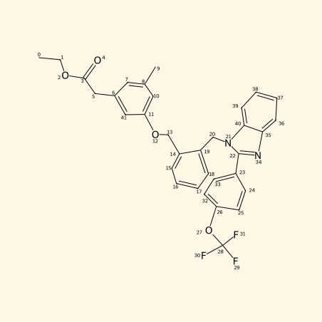 CCOC(=O)Cc1cc(C)cc(OCc2ccccc2Cn2c(-c3ccc(OC(F)(F)F)cc3)nc3ccccc32)c1